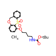 C.CC(C)(C)OC(=O)NCCCCOc1cccc2c1S(=O)(=O)c1ccccc1CO2